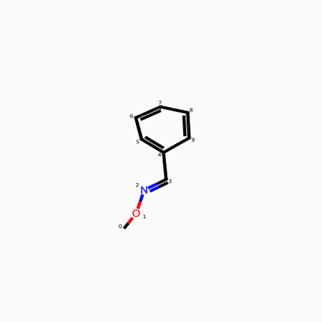 CON=Cc1cc[c]cc1